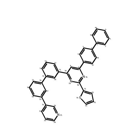 c1ccc(-c2ccc(-c3cc(-c4cccc(-c5cccc(-c6cccnc6)c5)c4)nc(-c4cccs4)n3)cc2)cc1